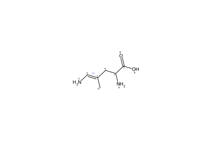 C/C(=C\N)CC(N)C(=O)O